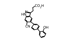 N#Cc1cc2[nH]nc(CCC(=O)O)c2cc1-c1ccc(-c2ccccc2O)cc1